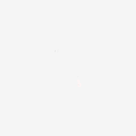 CCC/C=C1/C=CC(=O)CC1